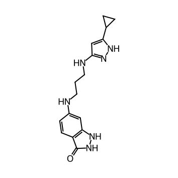 O=c1[nH][nH]c2cc(NCCCNc3cc(C4CC4)[nH]n3)ccc12